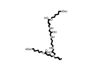 C/C=C/CN(C/C=C/C(=O)OCCCCCCCCCCCCCCC)CC(O)CNCCCCNCC(O)CNC/C=C/C(O)OCCCCCCCCCCCCCCC